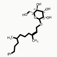 CC(=CCOC1O[C@H](CO)[C@@H](O)[C@H](O)[C@@H]1O)CCCC(C)CCCC(C)C